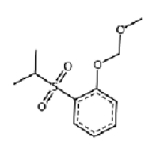 COCOc1ccccc1S(=O)(=O)C(C)C